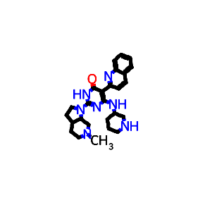 CN1CCC2CCN(c3nc(NC4CCCNC4)c(-c4ccc5ccccc5n4)c(=O)[nH]3)C2C1